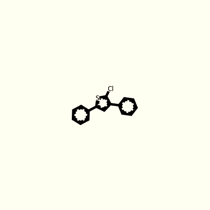 Clc1sc(-c2ccccc2)cc1-c1ccccc1